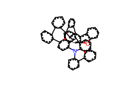 c1ccc(-c2ccccc2N(c2ccc3c(c2)C2(c4ccccc4-c4ccccc4-3)c3ccccc3-c3c2ccc2oc4ccccc4c32)c2ccccc2-c2ccccc2)cc1